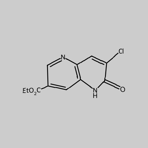 CCOC(=O)c1cnc2cc(Cl)c(=O)[nH]c2c1